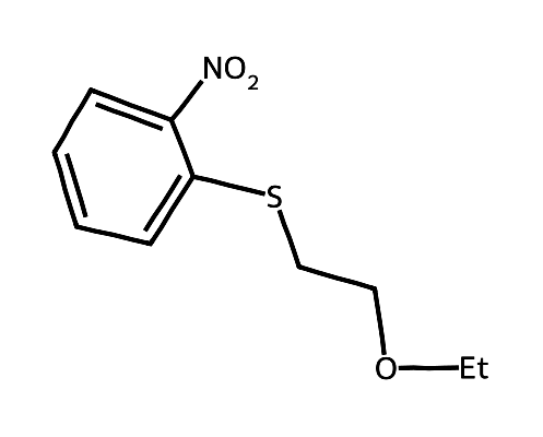 CCOCCSc1ccccc1[N+](=O)[O-]